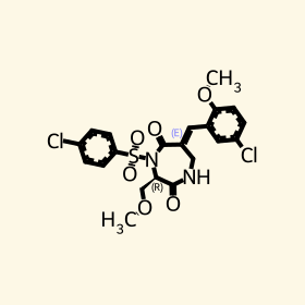 COC[C@@H]1C(=O)NC/C(=C\c2cc(Cl)ccc2OC)C(=O)N1S(=O)(=O)c1ccc(Cl)cc1